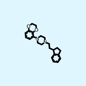 c1ccc2c(c1)CCC2CCN1CCN(c2cccc3c2OCCO3)CC1